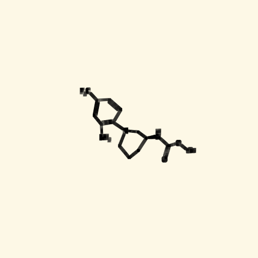 CC(C)(C)OC(=O)N[C@H]1CCCN(c2ccc(C(F)(F)F)cc2N)C1